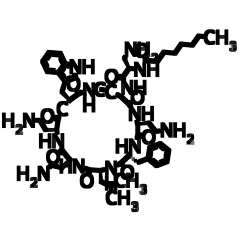 CCCCCCCC(=O)N[C@H](CN)C(=O)N[C@H]1CCNC(=O)[C@H](Cc2c[nH]c3ccccc23)CC(=O)[C@H](CCN)NC(=O)[C@H](CCN)NC(=O)[C@H](CC(C)C)NC(=O)[C@@H](Cc2ccccc2)NC(=O)[C@H](CCN)NC1=O